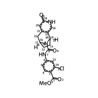 COC(=O)c1ccc(NC(=O)N2[C@H]3CC[C@@H]2c2c[nH]c(=O)cc2C3)cc1Cl